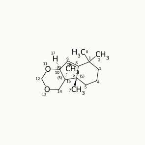 CC1(C)CCC[C@@]2(C)C1=C[C@@H]1OCOC[C@@]12C